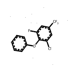 Fc1cc(C(F)(F)F)cc(Cl)c1Oc1cc[c]cc1